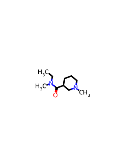 CCN(C)C(=O)C1CCCN(C)C1